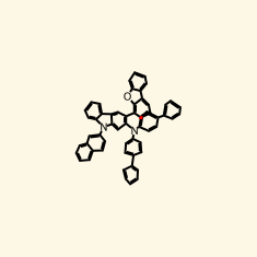 c1ccc(-c2ccc(N(c3ccc(-c4ccccc4)cc3)c3cc4c(cc3-c3cccc5c3oc3ccccc35)c3ccccc3n4-c3ccc4ccccc4c3)cc2)cc1